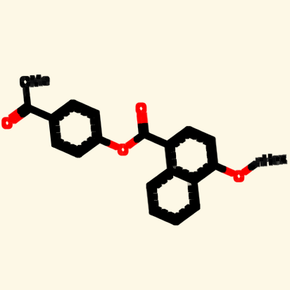 CCCCCCOc1ccc(C(=O)Oc2ccc(C(=O)OC)cc2)c2ccccc12